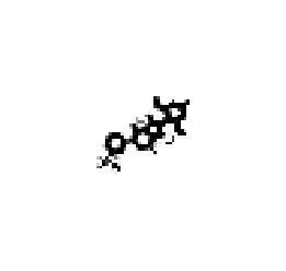 CCc1cc(C)cc(CC)c1C1=C(C)[C@@H]2C(C)[C@H](c3cccc([N+](=O)[O-])c3)C[C@H](C)[C@@H]2C1=O